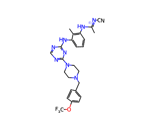 C/C(=N\C#N)Nc1cccc(Nc2ncnc(N3CCN(Cc4ccc(OC(F)(F)F)cc4)CC3)n2)c1C